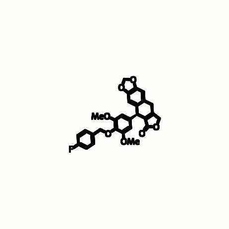 COc1cc([C@@H]2C3=C(COC3=O)Cc3cc4c(cc32)OCO4)cc(OC)c1OCc1ccc(F)cc1